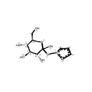 OC[C@H]1OC(O)(On2cccn2)[C@H](O)[C@@H](O)[C@@H]1O